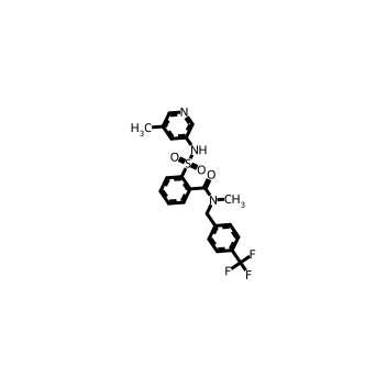 Cc1cncc(NS(=O)(=O)c2ccccc2C(=O)N(C)Cc2ccc(C(F)(F)F)cc2)c1